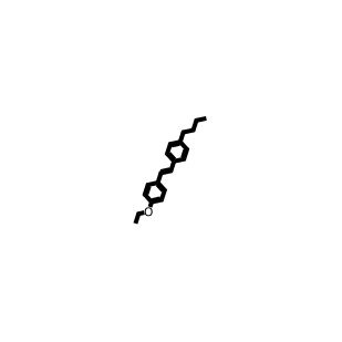 CCCCc1ccc(/C=C/c2ccc(OCC)cc2)cc1